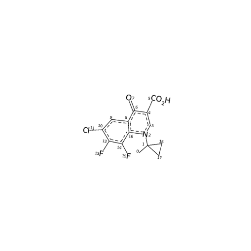 CC1(n2cc(C(=O)O)c(=O)c3cc(Cl)c(F)c(F)c32)CC1